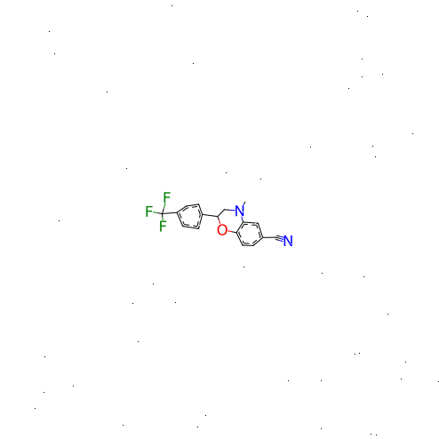 CN1CC(c2ccc(C(F)(F)F)cc2)Oc2ccc(C#N)cc21